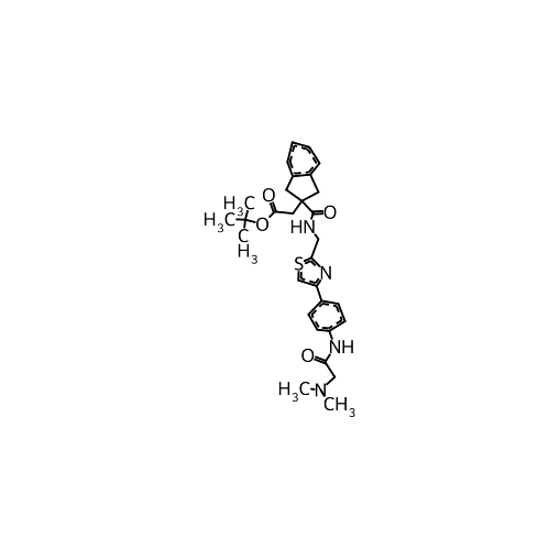 CN(C)CC(=O)Nc1ccc(-c2csc(CNC(=O)C3(CC(=O)OC(C)(C)C)Cc4ccccc4C3)n2)cc1